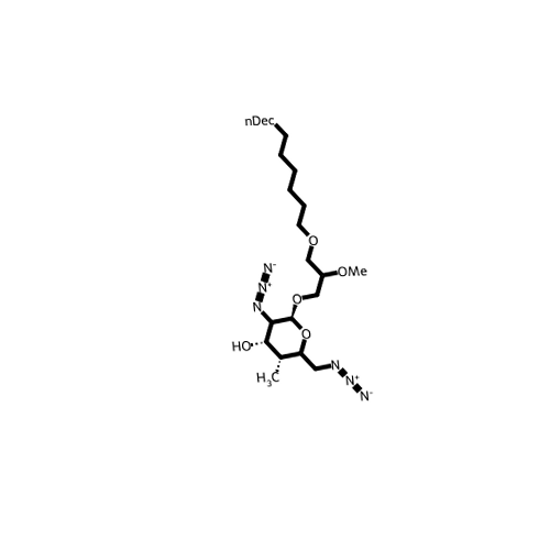 CCCCCCCCCCCCCCCCOCC(CO[C@H]1OC(CN=[N+]=[N-])[C@H](C)[C@H](O)C1N=[N+]=[N-])OC